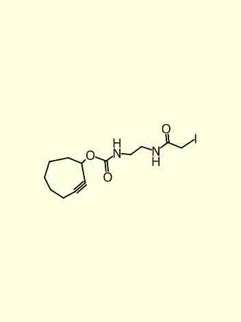 O=C(CI)NCCNC(=O)OC1C#CCCCCC1